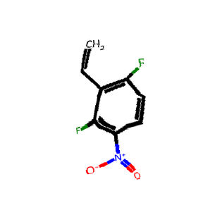 C=Cc1c(F)ccc([N+](=O)[O-])c1F